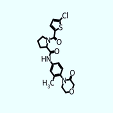 Cc1cc(NC(=O)C2CCCN2C(=O)c2ccc(Cl)s2)ccc1N1CCOCC1=O